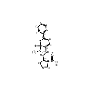 COC1(F)CC(c2ccccc2)=CC=C1NCC1=C(C(=O)O)CCC1